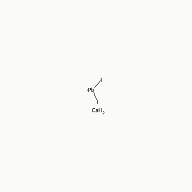 [CaH2].[I][Pb][I]